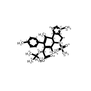 CC1=C(c2ccc(C)cc2)C([C@H](OC(C)(C)C)C(=O)O)=C(C)C2C1c1ncn(C)c1CN2S(C)(=O)=O